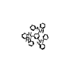 C1=CC2N=C(c3cc(-c4nc5ccccc5n4-c4ccccc4)cc(-c4nc5ccccc5n4-c4ccccc4)c3)N(c3ccccc3)[C@@H]2C=C1